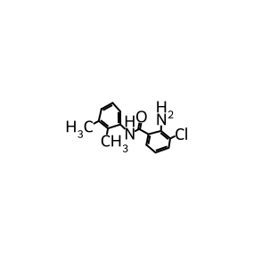 Cc1cccc(NC(=O)c2cccc(Cl)c2N)c1C